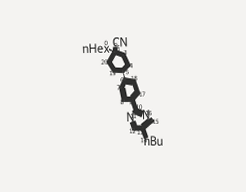 CCCCCC[C@]1(C#N)CC[C@H](c2ccc(-c3ncc(CCCC)cn3)cc2)CC1